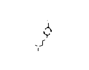 CN(C)CCOc1cnc([N+](=O)[O-])cn1